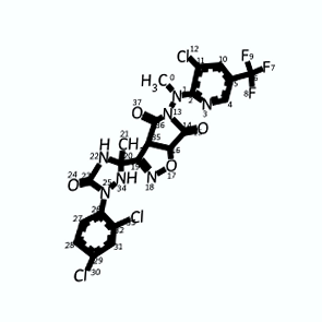 CN(c1ncc(C(F)(F)F)cc1Cl)N1C(=O)C2ON=C(C3(C)NC(=O)N(c4ccc(Cl)cc4Cl)N3)C2C1=O